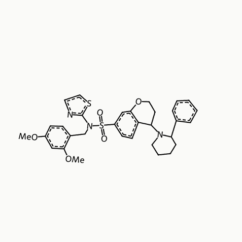 COc1ccc(CN(c2nccs2)S(=O)(=O)c2ccc3c(c2)OCCC3N2CCCCC2c2ccccc2)c(OC)c1